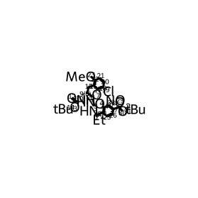 CC[C@@H](NC(=O)NC(=O)[C@H](CNC(=O)OC(C)(C)C)Cc1cc(Cl)ccc1OC)c1ccc(C(=O)OC(C)(C)C)c([N+](=O)[O-])c1